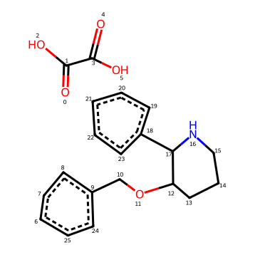 O=C(O)C(=O)O.c1ccc(COC2CCCNC2c2ccccc2)cc1